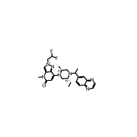 CC[C@@H]1CN(c2cc(=O)n(C)c3cn(CC(F)F)nc23)[C@@H](C)CN1C(C)c1ccc2nccnc2c1